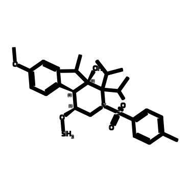 COc1ccc([C@@H]2[C@H](O[SiH3])CN(S(=O)(=O)c3ccc(C)cc3)C(C(C)C)(C(C)C)[C@@]2(O)C(C)C)cc1